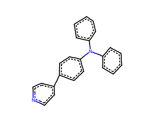 c1ccc(N(c2ccccc2)c2ccc(-c3ccncc3)cc2)cc1